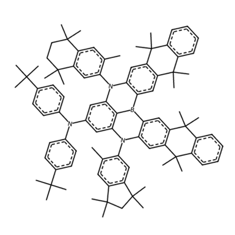 Cc1cc2c(cc1N1c3cc4c(cc3B3c5cc6c(cc5N(c5cc7c(cc5C)C(C)(C)CC7(C)C)c5cc(N(c7ccc(C(C)(C)C)cc7)c7ccc(C(C)(C)C)cc7)cc1c53)C(C)(C)c1ccccc1C6(C)C)C(C)(C)c1ccccc1C4(C)C)C(C)(C)CCC2(C)C